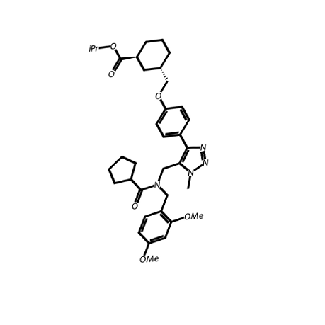 COc1ccc(CN(Cc2c(-c3ccc(OC[C@H]4CCC[C@H](C(=O)OC(C)C)C4)cc3)nnn2C)C(=O)C2CCCC2)c(OC)c1